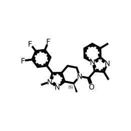 Cc1nc2c(C)cccn2c1C(=O)N1CCc2c(nn(C)c2-c2cc(F)c(F)c(F)c2)[C@@H]1C